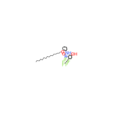 CCCCCCCCCCCCCCCCOc1ccccc1NC(=O)N(C)c1cc(O)ccc1C(F)(F)C(F)(F)C(F)(F)F